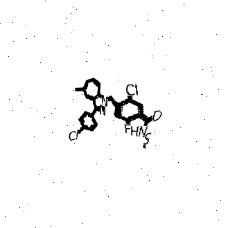 CSNC(=O)C1=C(F)C=C(CN2N=C(c3ccc(Cl)cc3)C3=CC(C)=CC=CC32)C(Cl)C1